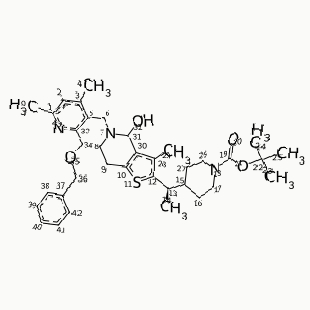 Cc1cc(C)c(CN2CCc3sc([C@H](C)C4CCN(C(=O)OC(C)(C)C)CC4)c(C)c3C2O)c(COCc2ccccc2)n1